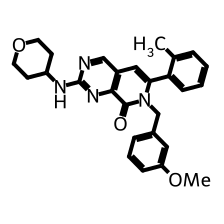 COc1cccc(Cn2c(-c3ccccc3C)cc3cnc(NC4CCOCC4)nc3c2=O)c1